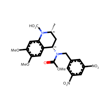 COC(=O)N(Cc1cc([N+](=O)[O-])cc([N+](=O)[O-])c1)[C@H]1C[C@@H](C)N(C(=O)O)c2cc(OC)c(OC)cc21